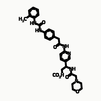 Cc1ccccc1NC(=O)Nc1ccc(CC(=O)Nc2ccc(C(CC(=O)O)NC(=O)CN3CCOCC3)cn2)cc1